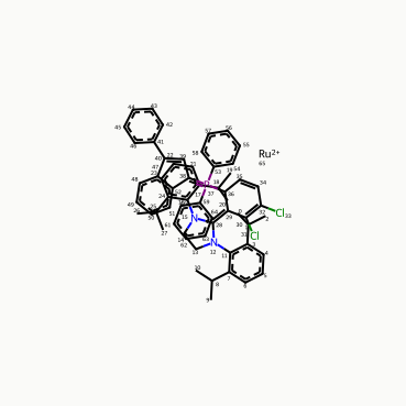 CC(C)c1cccc(C(C)C)c1N1CCN(c2c(C(C)C)cccc2C(C)C)C1=C1C(Cl)=C(Cl)C=CC1P(=C1C=C(c2ccccc2)c2ccccc21)(c1ccccc1)c1ccccc1.[Ru+2]